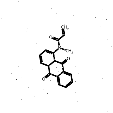 C=CC(=O)N(C)C1=CC=CC2C(=O)c3ccccc3C(=O)C12